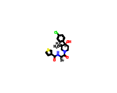 CC(C)[C@@H](NC(=O)c1ccsc1)C(=O)N1CC[C@](O)(c2ccc(Cl)cc2)C(C)(C)C1